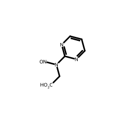 O=NN(CC(=O)O)c1ncccn1